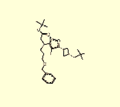 CC(C)(C)C[C@H]1C[C@@H](c2onc([C@@H](CCCOCc3ccccc3)CC(=O)OC(C)(C)C)c2I)C1